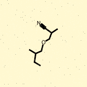 CCC(C)COCC(C)C#N